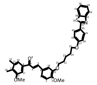 COc1ccc(/C=C/C(=O)c2cc(C)c(C)c(OC)c2)cc1OCCCCCOc1ccc(-c2nc3ccccc3s2)cc1